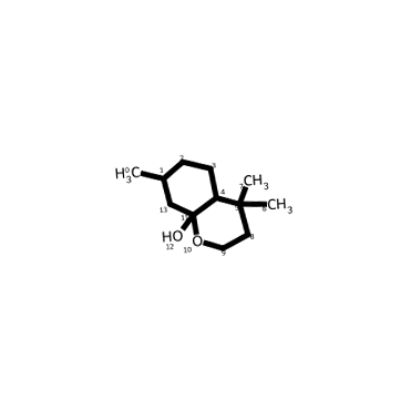 CC1CCC2C(C)(C)CCOC2(O)C1